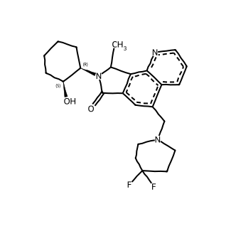 CC1c2c(cc(CN3CCC(F)(F)CC3)c3cccnc23)C(=O)N1[C@@H]1CCCC[C@@H]1O